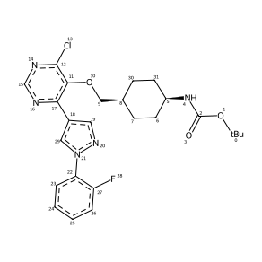 CC(C)(C)OC(=O)N[C@H]1CC[C@@H](COc2c(Cl)ncnc2-c2cnn(-c3ccccc3F)c2)CC1